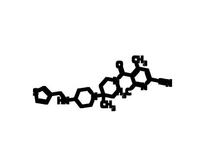 Cc1cc(C#N)nc(C)c1C(=O)N1CCC(C)(N2CCC(NCc3ccsc3)CC2)CC1